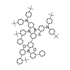 CC(C)(C)c1ccc(N(c2ccc(C(C)(C)C)cc2)c2ccc3c(c2)Sc2cc(-c4cc5c6c(c4)Oc4c(cccc4-c4ccccc4)B6c4cc(-c6ccccc6C(C)(C)C)ccc4O5)cc4c2B3c2ccc(N(c3ccc(C(C)(C)C)cc3)c3ccc(C(C)(C)C)cc3)cc2N4c2ccc(C(C)(C)C)c(-c3ccccc3)c2)cc1